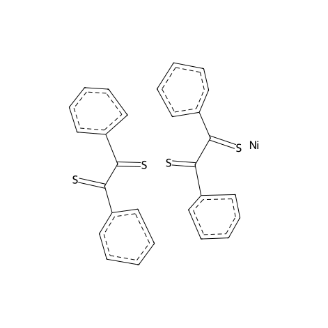 S=C(C(=S)c1ccccc1)c1ccccc1.S=C(C(=S)c1ccccc1)c1ccccc1.[Ni]